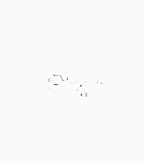 CSCC(CO)(CO)NCc1n[nH]c2c(=O)[nH]c(N)nc12